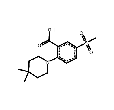 CC1(C)CCN(c2ccc(S(C)(=O)=O)cc2C(=O)O)CC1